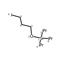 CC(C)[Si](OCCCI)(C(C)C)C(C)C